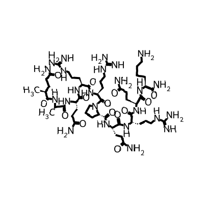 C[C@H](NC(=O)[C@@H](C)CCC(N)=O)C(=O)N[C@@H](CCC(N)=O)C(=O)N[C@@H](CCCNC(=N)N)C(=O)N[C@@H](CCCNC(=N)N)C(=O)N1CCC[C@H]1C(=O)N[C@@H](CCC(N)=O)C(=O)N[C@@H](CCCNC(=N)N)C(=O)N[C@@H](CCC(N)=O)C(=O)N[C@@H](CCCCN)C(N)=O